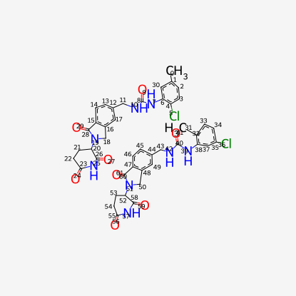 Cc1ccc(Cl)c(NC(=O)NCc2ccc3c(c2)CN(C2CCC(=O)NC2=O)C3=O)c1.Cc1ccc(Cl)cc1NC(=O)NCc1ccc2c(c1)CN(C1CCC(=O)NC1=O)C2=O